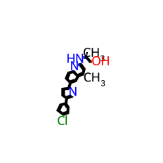 Cc1cc(N[C@@H](C)CO)nc2ccc(-c3ccc(-c4ccc(Cl)cc4)cn3)cc12